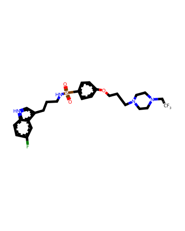 O=S(=O)(NCCCc1c[nH]c2ccc(F)cc12)c1ccc(OCCCN2CCN(CC(F)(F)F)CC2)cc1